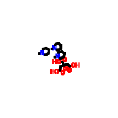 CN1CCCCC1.CN1CCCCC1.CN1CCCCC1.O=C(O)CC(O)(CC(=O)O)C(=O)O